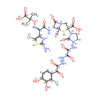 CC(C)(O/N=C(\C(=O)N[C@@H]1C(=O)N2C[C@@](C(=O)O)(N3CCN(NC(=O)C(=O)NNC(=O)C(=O)c4ccc(O)c(O)c4Cl)C3=O)S[C@H]12)c1nc(N)sc1Cl)C(=O)O